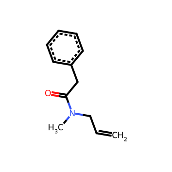 C=CCN(C)C(=O)Cc1ccccc1